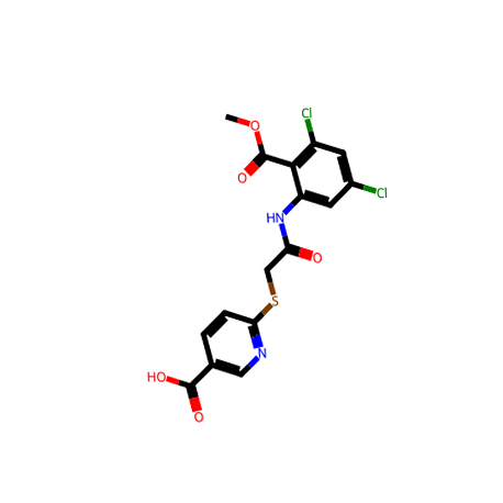 COC(=O)c1c(Cl)cc(Cl)cc1NC(=O)CSc1ccc(C(=O)O)cn1